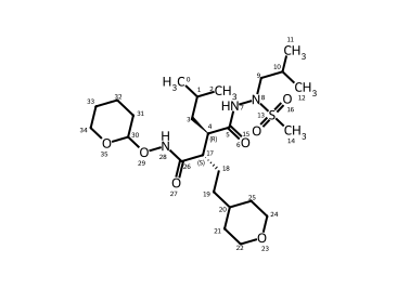 CC(C)C[C@@H](C(=O)NN(CC(C)C)S(C)(=O)=O)[C@H](CCC1CCOCC1)C(=O)NOC1CCCCO1